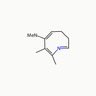 CNC1=C/CC/C=N/C(C)=C\1C